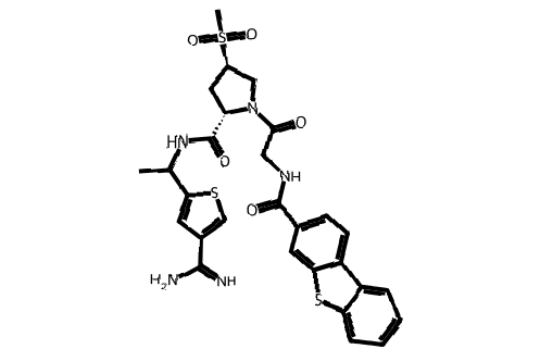 CC(NC(=O)[C@@H]1C[C@@H](S(C)(=O)=O)CN1C(=O)CNC(=O)c1ccc2c(c1)sc1ccccc12)c1cc(C(=N)N)cs1